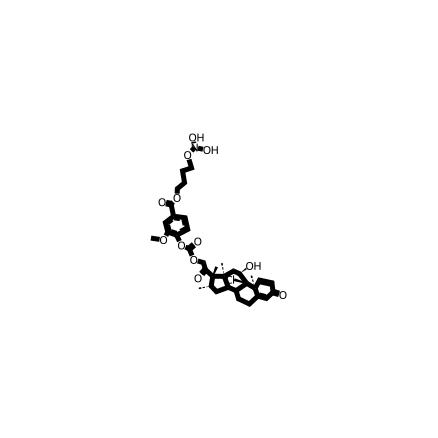 COc1cc(C(=O)OCCCCON(O)O)ccc1OC(=O)OCC(=O)[C@@]1(C)[C@@H](C)CC2C3CCC4=CC(=O)C=C[C@]4(C)[C@@]3(Cl)[C@@H](O)C[C@@]21C